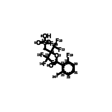 O=C(OC(CS(=O)(=O)O)(C(F)(F)F)C(F)(F)F)c1c(F)cccc1I